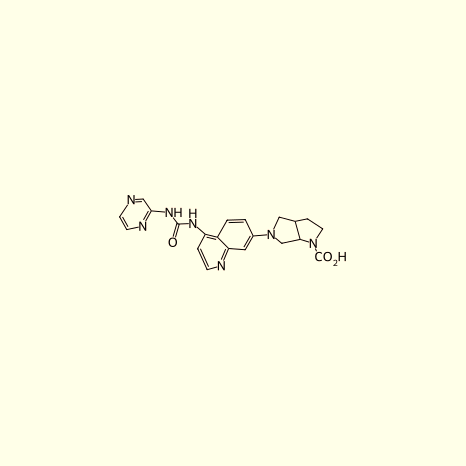 O=C(Nc1cnccn1)Nc1ccnc2cc(N3CC4CCN(C(=O)O)C4C3)ccc12